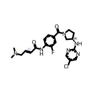 CN(C)C/C=C/C(=O)Nc1ccc(C(=O)N2CC[C@@H](Nc3ncc(Cl)cn3)C2)cc1F